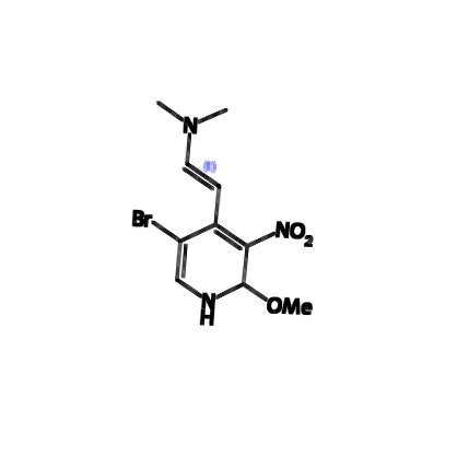 COC1NC=C(Br)C(/C=C/N(C)C)=C1[N+](=O)[O-]